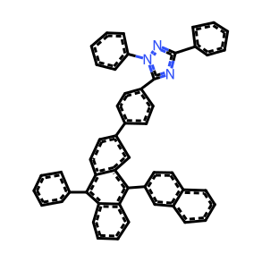 c1ccc(-c2nc(-c3ccc(-c4ccc5c(-c6ccccc6)c6ccccc6c(-c6ccc7ccccc7c6)c5c4)cc3)n(-c3ccccc3)n2)cc1